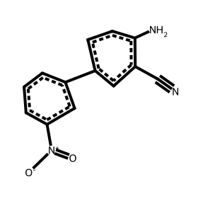 N#Cc1cc(-c2cccc([N+](=O)[O-])c2)ccc1N